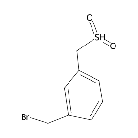 O=[SH](=O)Cc1cccc(CBr)c1